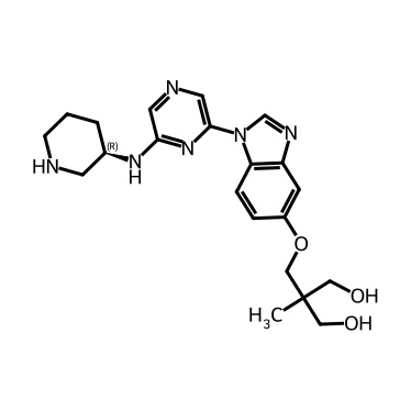 CC(CO)(CO)COc1ccc2c(c1)ncn2-c1cncc(N[C@@H]2CCCNC2)n1